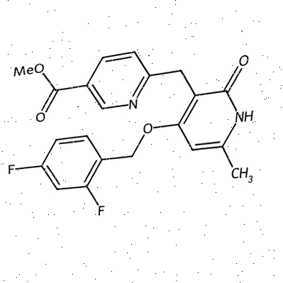 COC(=O)c1ccc(Cc2c(OCc3ccc(F)cc3F)cc(C)[nH]c2=O)nc1